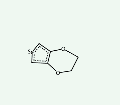 c1[se]cc2c1OCCO2